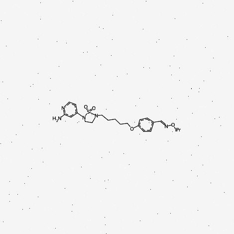 CC(C)O/N=C/c1ccc(OCCCCCN2CCN(c3ccnc(N)c3)S2(=O)=O)cc1